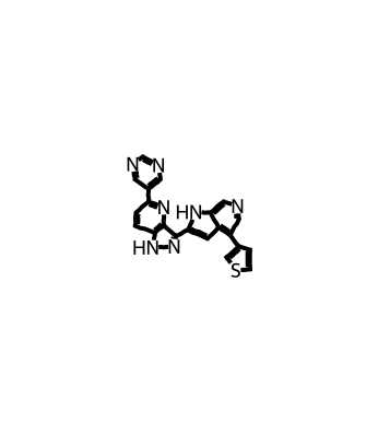 c1ncc(-c2ccc3[nH]nc(-c4cc5c(-c6ccsc6)cncc5[nH]4)c3n2)cn1